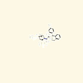 CO/C(C(=O)N1CCc2ccccc2[C@@H]1c1ccc(F)cc1)=C1/CN2CCC1CC2C